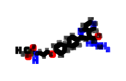 CS(=O)(=O)NCCCOc1ccc(-c2ccc(-c3cc(C(=O)NN)c4cnccc4n3)cc2)cc1